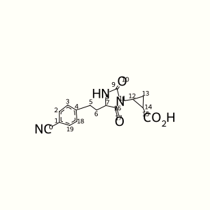 N#Cc1ccc(CCC2NC(=O)N(C3CC3C(=O)O)C2=O)cc1